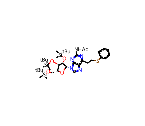 CC(=O)Nc1nc(CCSc2ccccc2)c2ncn([C@@H]3O[C@H](CO[Si](C)(C)C(C)(C)C)[C@@H](O[Si](C)(C)C(C)(C)C)[C@H]3O[Si](C)(C)C(C)(C)C)c2n1